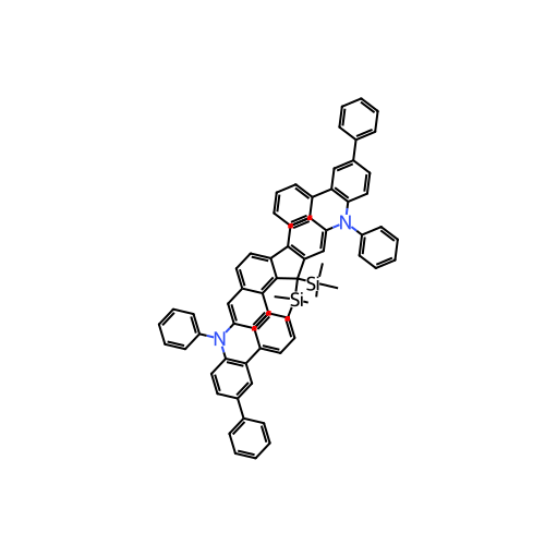 C[Si](C)(C)C1([Si](C)(C)C)c2cc(N(c3ccccc3)c3ccc(-c4ccccc4)cc3-c3ccccc3)ccc2-c2ccc3cc(N(c4ccccc4)c4ccc(-c5ccccc5)cc4-c4ccccc4)ccc3c21